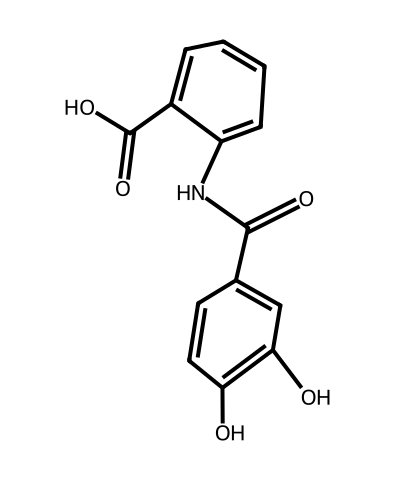 O=C(Nc1ccccc1C(=O)O)c1ccc(O)c(O)c1